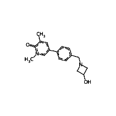 Cc1cc(-c2ccc(CN3CC(O)C3)cc2)cn(C)c1=O